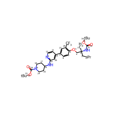 CC(C)CC(C)(COc1ccc(-c2ccnc(NC3CCN(C(=O)OC(C)(C)C)CC3)c2)cc1C(F)(F)F)NC(=O)OC(C)(C)C